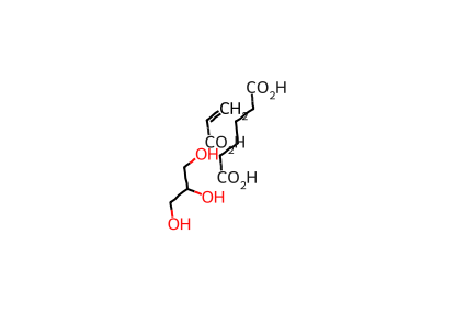 C=CC(=O)O.O=C(O)CCCCC(=O)O.OCC(O)CO